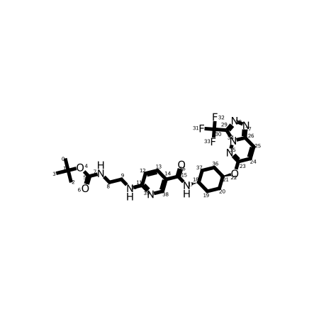 CC(C)(C)OC(=O)NCCNc1ccc(C(=O)N[C@H]2CC[C@H](Oc3ccc4nnc(C(F)(F)F)n4n3)CC2)cn1